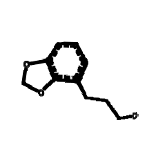 [O]CCCc1cccc2c1OCO2